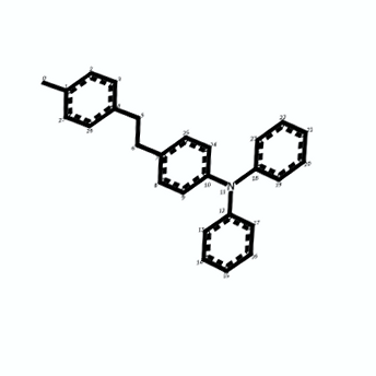 Cc1ccc(CCc2ccc(N(c3ccccc3)c3ccccc3)cc2)cc1